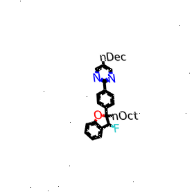 CCCCCCCCCCc1cnc(-c2ccc(C3(CCCCCCCC)Oc4ccccc4C3F)cc2)nc1